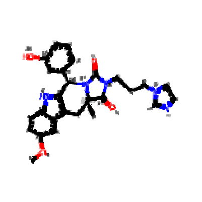 COc1ccc2[nH]c3c(c2c1)C[C@@]1(C)C(=O)N(CCCn2ccnc2)C(=O)N1[C@@H]3c1cccc(O)c1